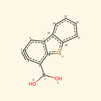 OB(O)c1c#ccc2c1sc1ccccc12